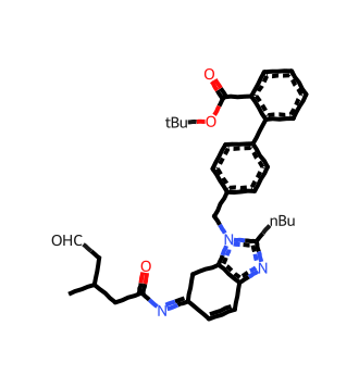 CCCCc1nc2c(n1Cc1ccc(-c3ccccc3C(=O)OC(C)(C)C)cc1)CC(=NC(=O)CC(C)CC=O)C=C2